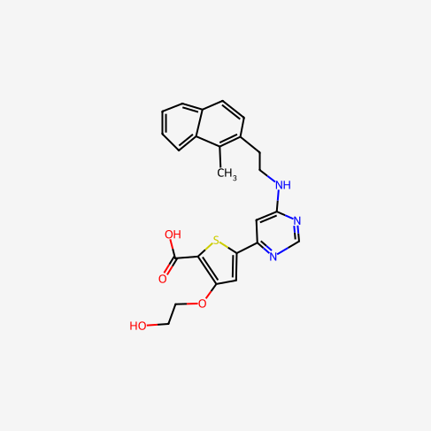 Cc1c(CCNc2cc(-c3cc(OCCO)c(C(=O)O)s3)ncn2)ccc2ccccc12